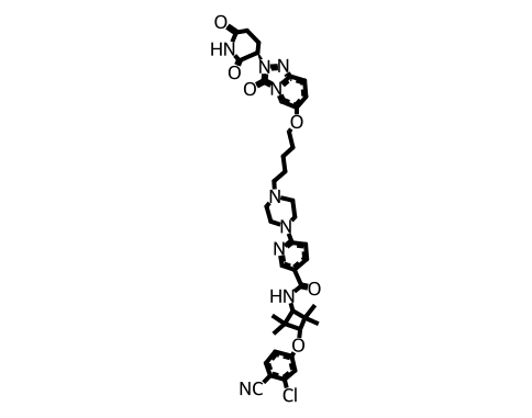 CC1(C)C(NC(=O)c2ccc(N3CCN(CCCCCOc4ccc5nn([C@@H]6CCC(=O)NC6=O)c(=O)n5c4)CC3)nc2)C(C)(C)C1Oc1ccc(C#N)c(Cl)c1